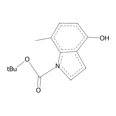 Cc1ccc(O)c2ccn(C(=O)OC(C)(C)C)c12